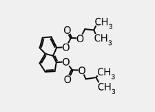 CC(C)COC(=O)Oc1cccc2cccc(OC(=O)OCC(C)C)c12